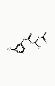 CC(C)C(=O)OC(OC(=O)Oc1cccc(C(F)(F)F)c1)C(C)C